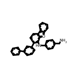 NCc1ccc(Nc2c(-c3cccc(-c4ccccc4)c3)ccc3c2oc2ccccc23)cc1